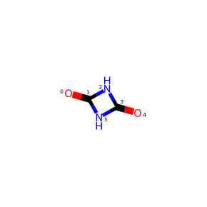 O=C1NC(=O)N1